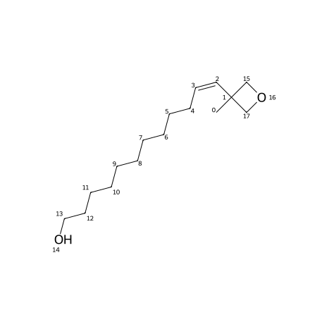 CC1(/C=C\CCCCCCCCCCO)COC1